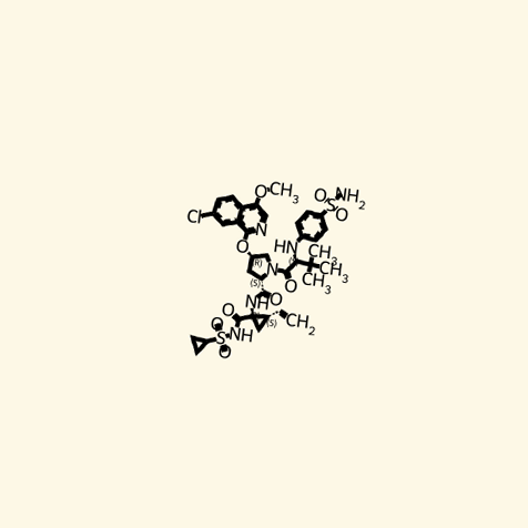 C=C[C@@H]1C[C@]1(NC(=O)[C@@H]1C[C@@H](Oc2ncc(OC)c3ccc(Cl)cc23)CN1C(=O)[C@@H](Nc1ccc(S(N)(=O)=O)cc1)C(C)(C)C)C(=O)NS(=O)(=O)C1CC1